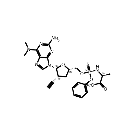 C#C[C@H]1C[C@@H](CO[P@@](=S)(N[C@@H](C)C(=O)OC)Oc2ccccc2)O[C@H]1n1cnc2c(N(C)C)nc(N)nc21